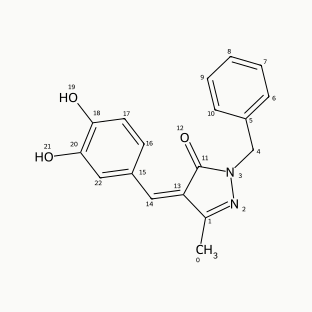 CC1=NN(Cc2ccccc2)C(=O)C1=Cc1ccc(O)c(O)c1